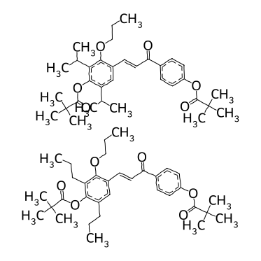 CCCOc1c(C=CC(=O)c2ccc(OC(=O)C(C)(C)C)cc2)cc(C(C)C)c(OC(=O)C(C)(C)C)c1C(C)C.CCCOc1c(C=CC(=O)c2ccc(OC(=O)C(C)(C)C)cc2)cc(CCC)c(OC(=O)C(C)(C)C)c1CCC